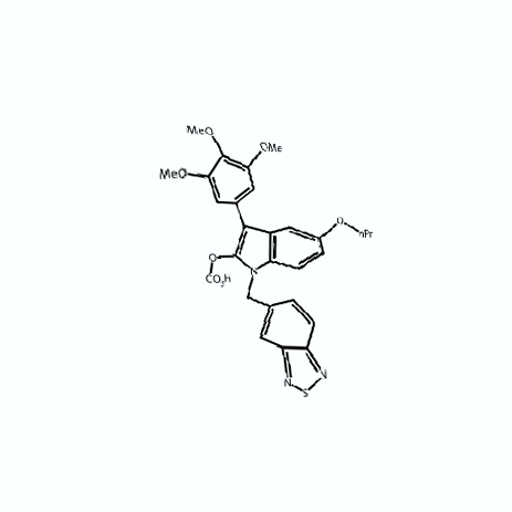 CCCOc1ccc2c(c1)c(-c1cc(OC)c(OC)c(OC)c1)c(OC(=O)O)n2Cc1ccc2nsnc2c1